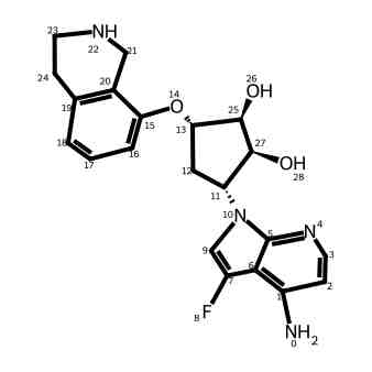 Nc1ccnc2c1c(F)cn2[C@@H]1C[C@H](Oc2cccc3c2CNCC3)[C@@H](O)[C@H]1O